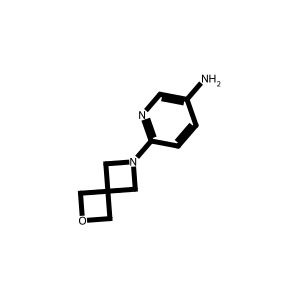 Nc1ccc(N2CC3(COC3)C2)nc1